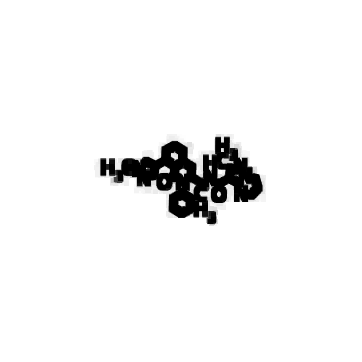 Cc1nn2cccnc2c1C(=O)N[C@@H](C)c1cc2cccc(-c3cnn(C)c3)c2c(=O)n1-c1ccccc1